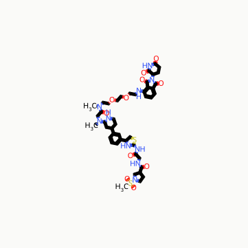 CN(CCOCCOCCNc1cccc2c1C(=O)N(C1CCC(=O)NC1=O)C2=O)C(=O)CN(C)C1CC(c2cccc(C3CSC(NC(=O)CNC(=O)C4CCN(S(C)(=O)=O)C4)N3)c2)CCN1